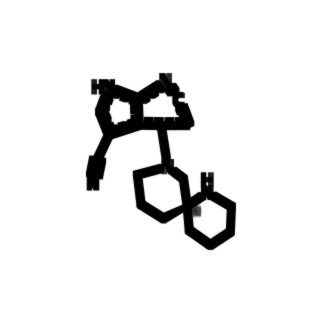 N#Cc1c[nH]c2nccc(N3CCC[C@@]4(CCCCN4)C3)c12